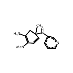 CNC1=C(N)CC(C)(Nc2cccnc2)C=C1